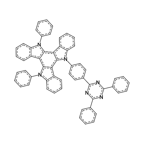 c1ccc(-c2nc(-c3ccccc3)nc(-c3ccc(-n4c5ccccc5c5c6c(c7ccccc7n6-c6ccccc6)c6c(c7ccccc7n6-c6ccccc6)c54)cc3)n2)cc1